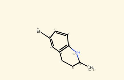 CCc1ccc2c(c1)CCC(C)N2